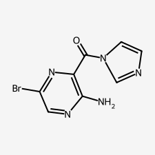 Nc1ncc(Br)nc1C(=O)n1ccnc1